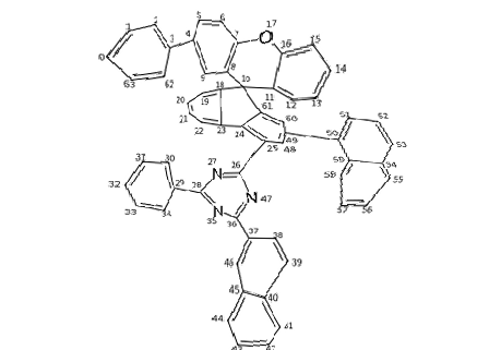 c1ccc(-c2ccc3c(c2)C2(c4ccccc4O3)c3ccccc3-c3c(-c4nc(-c5ccccc5)nc(-c5ccc6ccccc6c5)n4)cc(-c4cccc5ccccc45)cc32)cc1